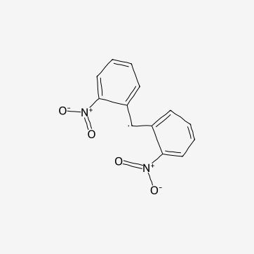 O=[N+]([O-])c1ccccc1[CH]c1ccccc1[N+](=O)[O-]